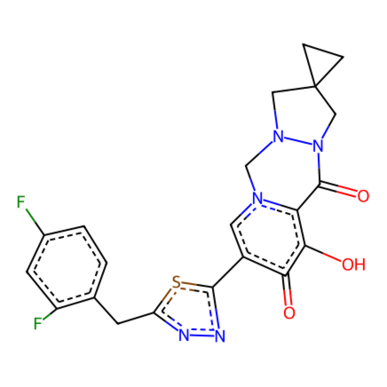 O=C1c2c(O)c(=O)c(-c3nnc(Cc4ccc(F)cc4F)s3)cn2CN2CC3(CC3)CN12